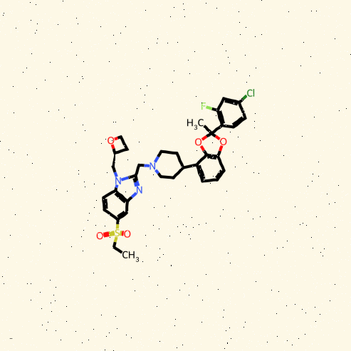 CCS(=O)(=O)c1ccc2c(c1)nc(CN1CCC(c3cccc4c3OC(C)(c3ccc(Cl)cc3F)O4)CC1)n2C[C@@H]1CCO1